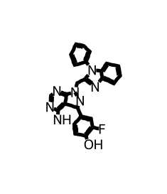 Nc1ncnc2c1c(-c1ccc(O)c(F)c1)nn2Cc1nc2ccccc2n1-c1ccccc1